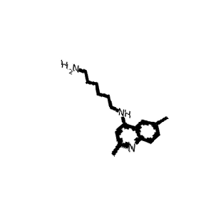 Cc1ccc2nc(C)cc(NCCCCCCN)c2c1